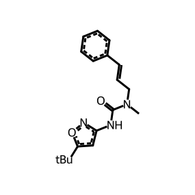 CN(CC=Cc1ccccc1)C(=O)Nc1cc(C(C)(C)C)on1